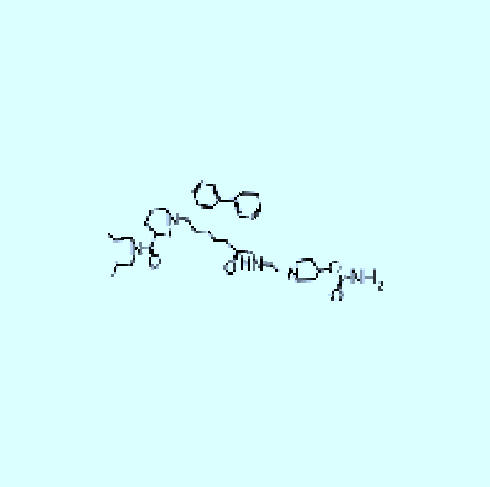 CCCN(CCC)C(=O)C1CCCN(CCCCCC(=O)CNCCN2CCC(OC(N)=O)CC2)C1.c1ccc(-c2ccccc2)cc1